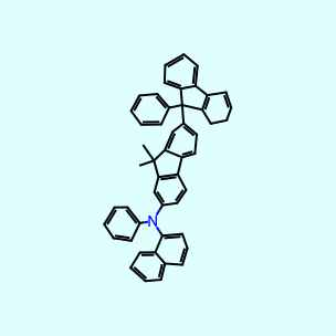 CC1(C)c2cc(N(c3ccccc3)c3cccc4ccccc34)ccc2-c2ccc(C3(c4ccccc4)C4=C(C=CCC4)c4ccccc43)cc21